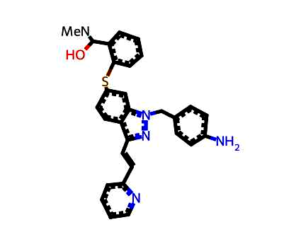 CNC(O)c1ccccc1Sc1ccc2c(/C=C/c3ccccn3)nn(Cc3ccc(N)cc3)c2c1